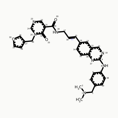 CN(C)Cc1ccc(Nc2ncc3cc(/C=C/CNC(=O)c4cncn(Cc5ccoc5)c4=O)ccc3n2)cc1